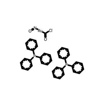 O=[N][Ru][C](=O)Cl.c1ccc(P(c2ccccc2)c2ccccc2)cc1.c1ccc(P(c2ccccc2)c2ccccc2)cc1